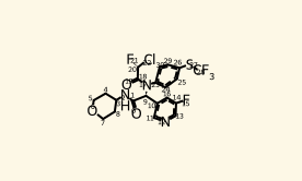 O=C(NC1CCOCC1)[C@@H](c1cncc(F)c1)N(C(=O)[C@H](F)Cl)c1ccc(SC(F)(F)F)cc1